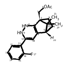 CC(=O)OC[C@]12CC[C@H](C3=C1NNC(c1ccccc1F)=C3)C2(C)C